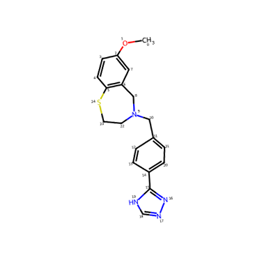 COc1ccc2c(c1)CN(Cc1ccc(-c3nnc[nH]3)cc1)CCS2